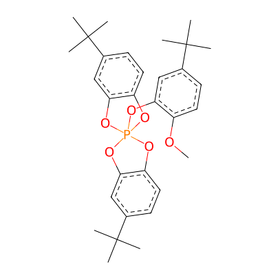 COc1ccc(C(C)(C)C)cc1OP12(Oc3ccc(C(C)(C)C)cc3O1)Oc1ccc(C(C)(C)C)cc1O2